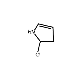 ClC1CC=CN1